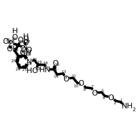 NCCOCCOCCOCCOCCC(=O)NCC(O)C[n+]1cccc(CC(O)(P(=O)(O)O)P(=O)(O)O)c1